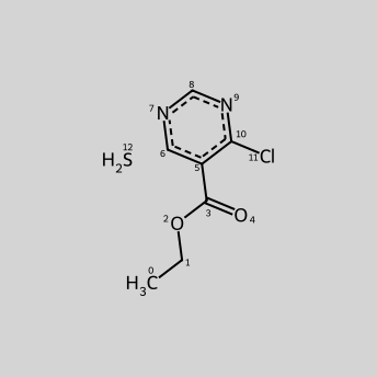 CCOC(=O)c1cncnc1Cl.S